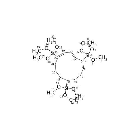 CO[Si](OC)(OC)C1=C\CCC([Si](OC)(OC)OC)CCC\C([Si](OC)(OC)OC)=C/C=C/1